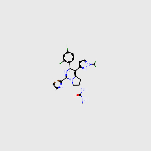 CC(C)NC(=O)N[C@H]1CC2=C(c3ccn(C(F)F)n3)[C@H](c3ccc(F)cc3Cl)N=C(c3nccs3)N2C1